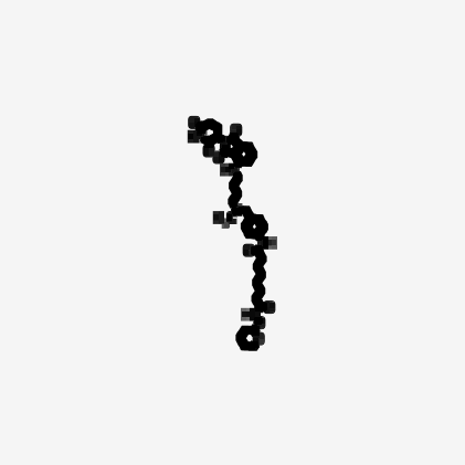 CN(CCCCNc1cccc2c1C(=O)N(C1CCC(=O)NC1=O)C2=O)Cc1ccc(NC(=O)CCCCCCC(=O)NOC2CCCCO2)cc1